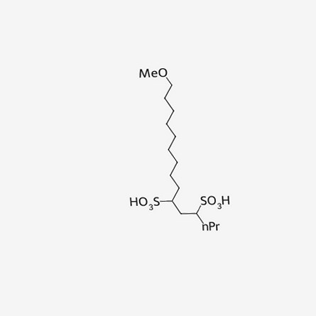 CCCC(CC(CCCCCCCCCOC)S(=O)(=O)O)S(=O)(=O)O